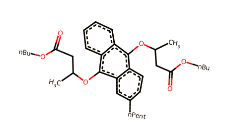 CCCCCc1ccc2c(OC(C)CC(=O)OCCCC)c3ccccc3c(OC(C)CC(=O)OCCCC)c2c1